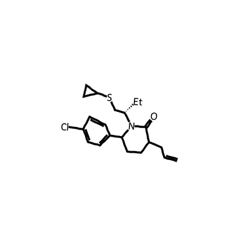 C=CCC1CCC(c2ccc(Cl)cc2)N([C@@H](CC)CSC2CC2)C1=O